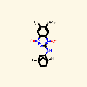 COc1cc2c(cc1C)[n+]([O-])nc(N[C@@H]1C[C@H]3CC[C@@H]1C3)[n+]2[O-]